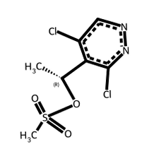 C[C@@H](OS(C)(=O)=O)c1c(Cl)cnnc1Cl